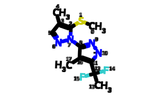 CSc1c(C)cnn1C1=N[N]C(C(C)(F)F)=C1C